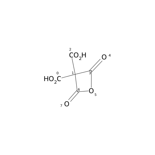 O=C(O)C1(C(=O)O)C(=O)OC1=O